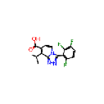 CC(C)c1c(C(=O)O)ccn2c(-c3c(F)ccc(F)c3F)nnc12